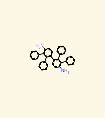 Nc1ccc(-c2ccc(N)c(-c3ccccc3)c2-c2ccccc2)c(-c2ccccc2)c1-c1ccccc1